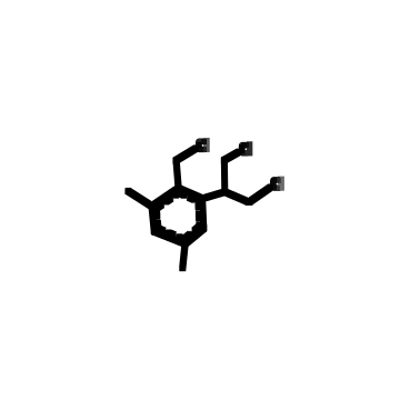 Cc1cc(C)c(CCl)c(C(CCl)CCl)c1